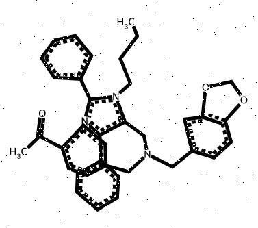 CCCCn1c(-c2ccccc2)nc(-c2ccccc2)c1CN(Cc1ccc(C(C)=O)cc1)Cc1ccc2c(c1)OCO2